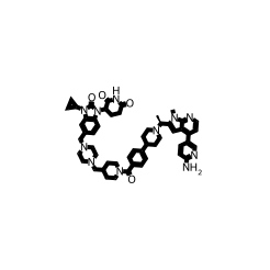 C[C@@H](c1cc2c(-c3ccc(N)nc3)ccnc2n1C)N1CCC(c2ccc(C(=O)N3CCC(CN4CCN(Cc5ccc6c(c5)n(C5CC5)c(=O)n6C5CCC(=O)NC5=O)CC4)CC3)cc2)CC1